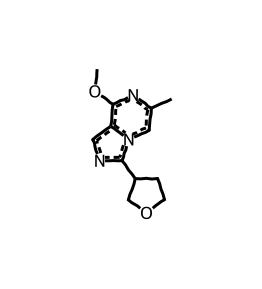 COc1nc(C)cn2c(C3CCOC3)ncc12